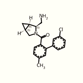 Cc1ccc(C(=O)N2C[C@H]3C[C@H]3[C@H]2CN)c(-c2cccc(Cl)c2)c1